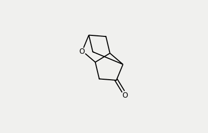 O=C1CC2OC3CC1C2C3